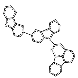 c1ccc2c(c1)-c1cccc3cc(-n4c5ccccc5c5cc(-c6ccc7sc8ccccc8c7c6)ccc54)nc-2c13